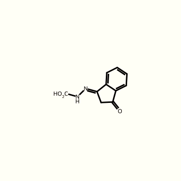 O=C(O)N/N=C1\CC(=O)c2ccccc21